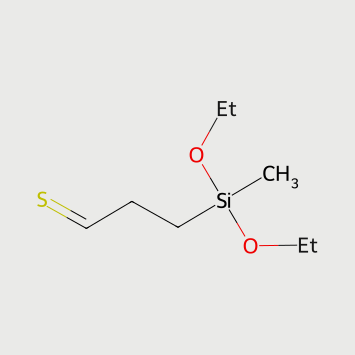 CCO[Si](C)(CCC=S)OCC